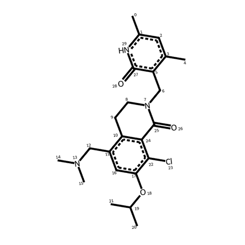 Cc1cc(C)c(CN2CCc3c(CN(C)C)cc(OC(C)C)c(Cl)c3C2=O)c(=O)[nH]1